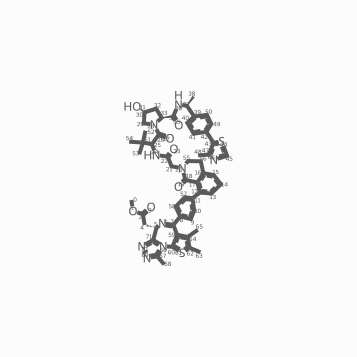 COC(=O)C[C@@H]1N=C(c2ccc(-c3cccc4c3C(=O)N(CC(=O)NC(C(=O)N3C[C@H](O)C[C@H]3C(=O)N[C@@H](C)c3ccc(-c5scnc5C)cc3)C(C)(C)C)CC4)cc2)c2c(sc(C)c2C)-n2c(C)nnc21